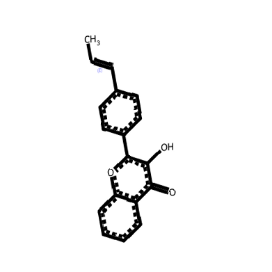 C/C=C/c1ccc(-c2oc3ccccc3c(=O)c2O)cc1